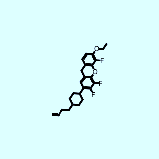 C=CCCC1CCC(c2cc3c(c(F)c2F)Oc2c(ccc(OCC)c2F)C3)CC1